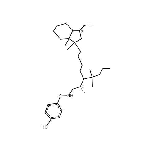 CCCC(C)(C)C(CCCCC1(C)C[C@H](CC)C2CCCCC21C)[C@H](C)CNSc1ccc(O)cc1